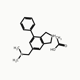 CC(=O)O.CN(C)Cc1cc2c(c(-c3ccccc3)c1)CNC2